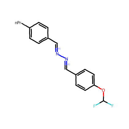 CCCc1ccc(/C=N/N=C/c2ccc(OC(F)F)cc2)cc1